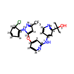 CC(C)(O)c1cc(Nc2cc(Oc3cc(C(F)(F)F)nn3-c3ccccc3Cl)ccn2)ccn1